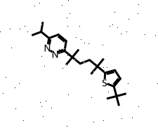 CC(C)c1ccc(C(C)(C)CCC(C)(C)c2ccc(C(C)(C)C)s2)nn1